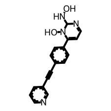 ONC1N=CC=C(c2ccc(C#Cc3cccnc3)cc2)N1O